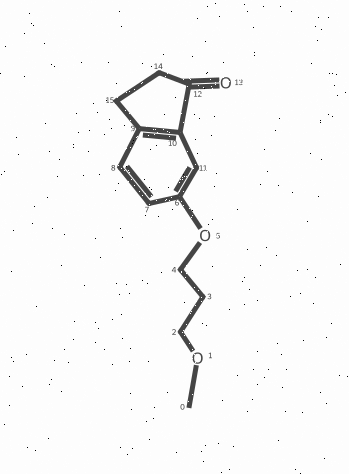 COCCCOc1ccc2c(c1)C(=O)CC2